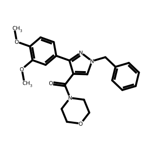 COc1ccc(-c2nn(Cc3ccccc3)cc2C(=O)N2CCOCC2)cc1OC